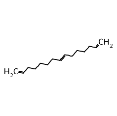 C=CCCCCC=CCCCCCC=C